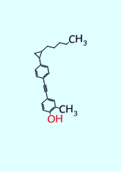 CCCCCC1CC1c1ccc(C#Cc2ccc(O)c(C)c2)cc1